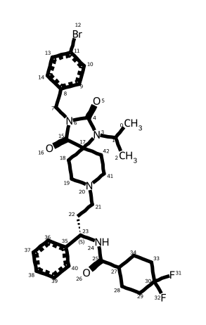 CC(C)N1C(=O)N(Cc2ccc(Br)cc2)C(=O)C12CCN(CC[C@H](NC(=O)C1CCC(F)(F)CC1)c1ccccc1)CC2